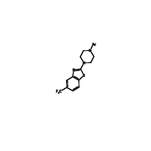 CC(=O)N1CCN(c2nc3cc(C(F)(F)F)ccc3s2)CC1